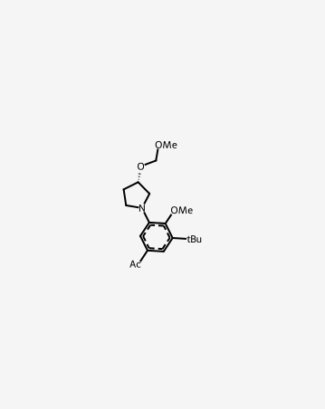 COCO[C@H]1CCN(c2cc(C(C)=O)cc(C(C)(C)C)c2OC)C1